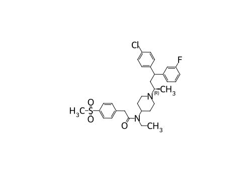 CCN(C(=O)Cc1ccc(S(C)(=O)=O)cc1)C1CCN([C@H](C)CC(c2ccc(Cl)cc2)c2cccc(F)c2)CC1